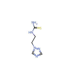 NC(=S)NCCn1cncn1